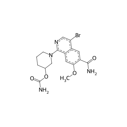 COc1cc2c(N3CCCC(OC(N)=O)C3)ncc(Br)c2cc1C(N)=O